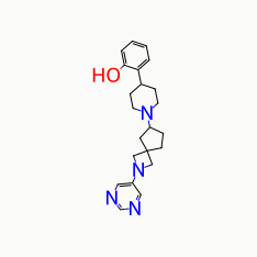 Oc1ccccc1C1CCN(C2CCC3(C2)CN(c2cncnc2)C3)CC1